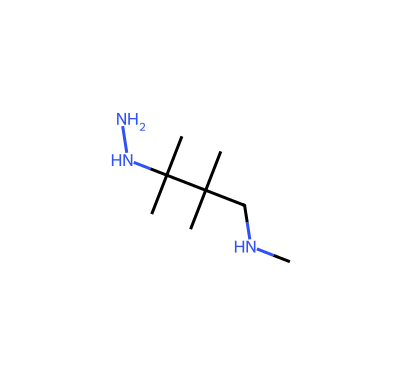 CNCC(C)(C)C(C)(C)NN